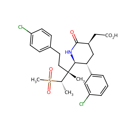 C[C@@H]([C@](C)(CCc1ccc(Cl)cc1)[C@H]1NC(=O)[C@@H](CC(=O)O)C[C@@H]1c1cccc(Cl)c1)S(C)(=O)=O